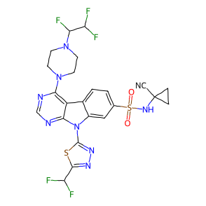 N#CC1(NS(=O)(=O)c2ccc3c4c(N5CCN(C(F)C(F)F)CC5)ncnc4n(-c4nnc(C(F)F)s4)c3c2)CC1